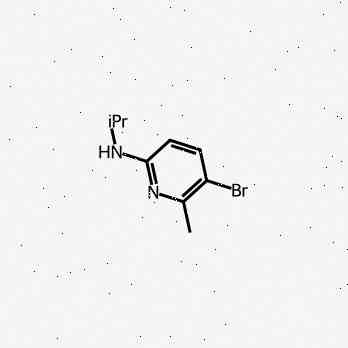 Cc1nc(NC(C)C)ccc1Br